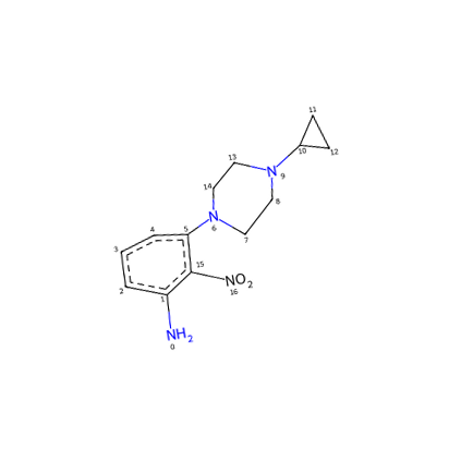 Nc1cccc(N2CCN(C3CC3)CC2)c1[N+](=O)[O-]